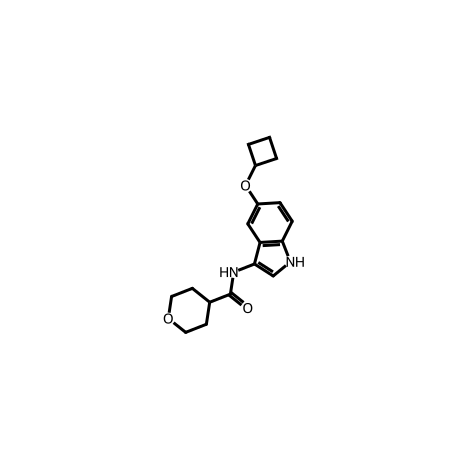 O=C(Nc1c[nH]c2ccc(OC3CCC3)cc12)C1CCOCC1